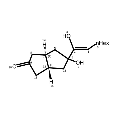 CCCCCCC=C(O)C1(O)C[C@@H]2CC(=O)C[C@H]2C1